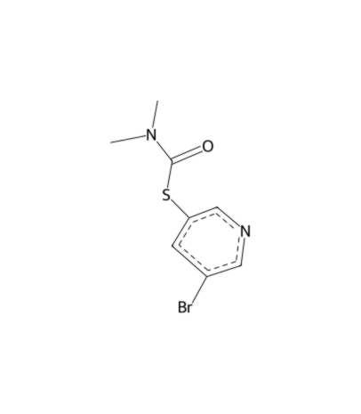 CN(C)C(=O)Sc1cncc(Br)c1